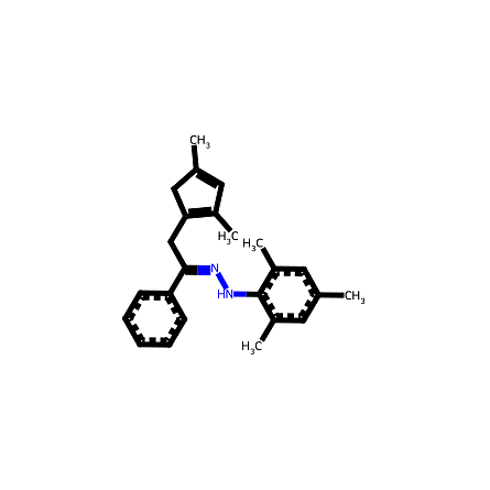 CC1=CC(C)=C(CC(=NNc2c(C)cc(C)cc2C)c2ccccc2)C1